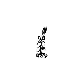 CC(C)n1cc(C(=O)c2cncc(NC(=O)C(OC=O)c3cccc(CN4CCOCC4)c3)c2)c2cncnc21